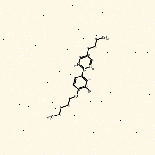 CCCCCOc1ccc(-c2ncc(CCCC)cn2)cc1F